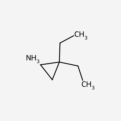 CCC1(CC)CC1.N